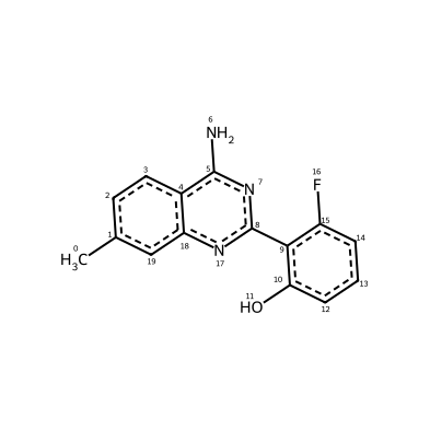 Cc1ccc2c(N)nc(-c3c(O)cccc3F)nc2c1